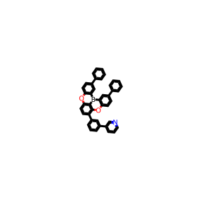 c1ccc(-c2ccc3c(c2)B2c4cc(-c5ccccc5)ccc4Oc4c(-c5cccc(-c6cccnc6)c5)ccc(c42)O3)cc1